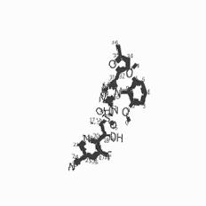 COc1cccc(OC)c1-n1c(NS(=O)(=O)[C@@H](C)[C@@H](O)c2ncc(C#N)cc2F)nnc1-c1ccc(C)o1